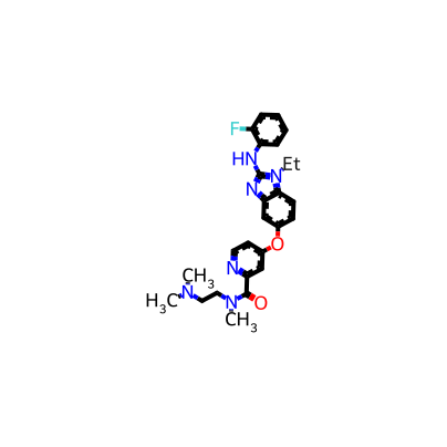 CCn1c(Nc2ccccc2F)nc2cc(Oc3ccnc(C(=O)N(C)CCN(C)C)c3)ccc21